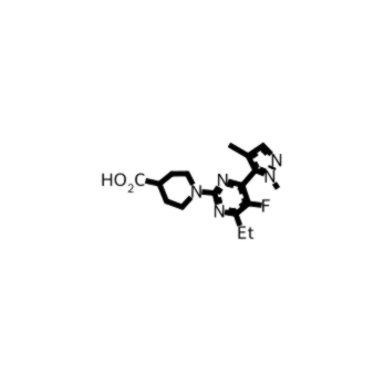 CCc1nc(N2CCC(C(=O)O)CC2)nc(-c2c(C)cnn2C)c1F